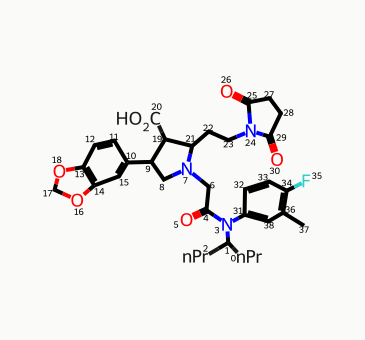 CCCC(CCC)N(C(=O)CN1CC(c2ccc3c(c2)OCO3)C(C(=O)O)C1CCN1C(=O)CCC1=O)c1ccc(F)c(C)c1